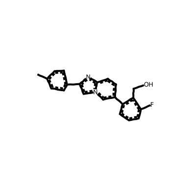 Cc1ccc(-c2cn3cc(-c4cccc(F)c4CO)ccc3n2)cc1